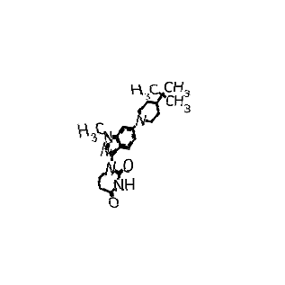 Cn1nc(N2CCC(=O)NC2=O)c2ccc(N3CCC(C(C)(C)C)CC3)cc21